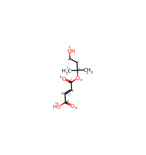 CC(C)(CCO)OC(=O)/C=C/C(=O)O